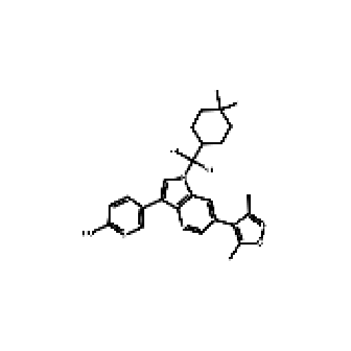 [2H]C([2H])(C1CCC(C)(F)CC1)n1cc(-c2ccc(O)nc2)c2ncc(-c3c(C)noc3C)cc21